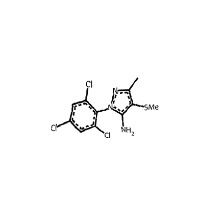 CSc1c(C)nn(-c2c(Cl)cc(Cl)cc2Cl)c1N